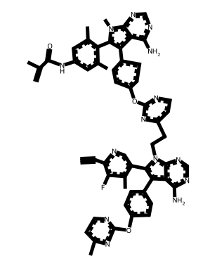 C#Cc1ncc(-c2c(-c3ccc(Oc4nccc(C)n4)cc3)c3c(N)ncnc3n2CCc2ccnc(Oc3ccc(-c4c(-c5c(C)cc(NC(=O)C(=C)C)cc5C)n(C)c5ncnc(N)c45)cc3)n2)c(C)c1F